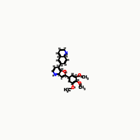 COc1cc(-c2cc3nccc(-c4ccc5ncccc5c4)c3o2)cc(OC)c1OC